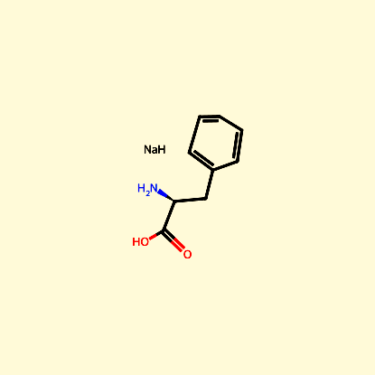 N[C@@H](Cc1ccccc1)C(=O)O.[NaH]